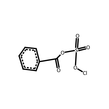 O=C(OS(=O)(=O)OCl)c1ccccc1